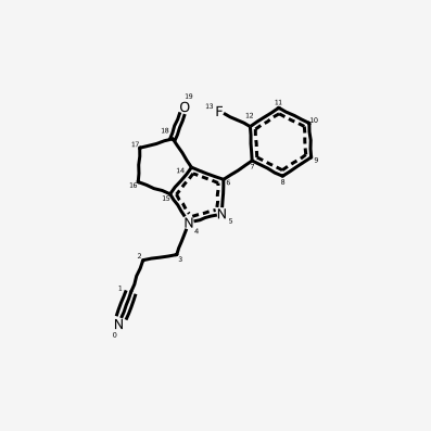 N#CCCn1nc(-c2ccccc2F)c2c1CCC2=O